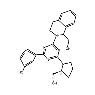 OCC1c2ccccc2CCN1c1nc(-c2cccc(O)c2)nc(N2CCC[C@H]2CO)n1